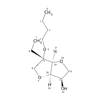 CCCCO[C@@]1(CC)CO[C@@H]2[C@H](O)CO[C@@H]21